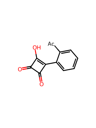 CC(=O)c1ccccc1-c1c(O)c(=O)c1=O